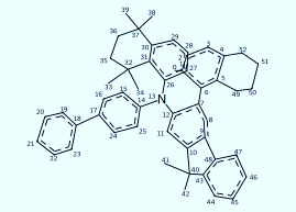 Cc1ccc2c(c1-c1cc3c(cc1N(c1ccc(-c4ccccc4)cc1)c1cccc4c1C(C)(C)CCC4(C)C)C(C)(C)c1ccccc1-3)CCCC2